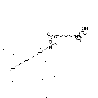 CCCCCCCCCCCCCCCCCCN(C)C(=O)OCC(C)(COCCCCCCCn1cncc1CC(=O)O)OC